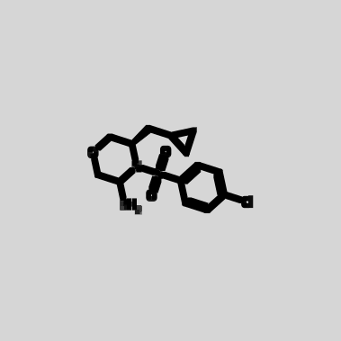 BC1COC[C@@H](CC2CC2)N1S(=O)(=O)c1ccc(Cl)cc1